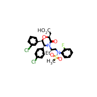 CC[C@@H](CN(c1ccccc1F)S(C)(=O)=O)N1C(=O)[C@H](CC(=O)O)O[C@H](c2cccc(Cl)c2)[C@H]1c1ccc(Cl)cc1